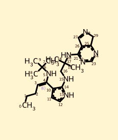 CCC/C=C(/NC(C)(C)C)c1cc[nH]c1NCC(C)(C)Nc1ncnc2c1C=NC2